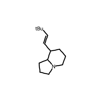 CC(C)(C)/C=C/C1CCCN2CCCC12